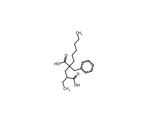 CCCCCCC(Cc1ccccc1)(CC(CC)C(=O)O)C(=O)O